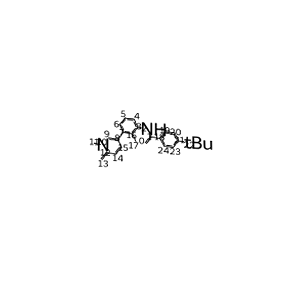 C=C(Nc1cccc(C2=CN(C)C(=C)C=C2)c1C)c1ccc(C(C)(C)C)cc1